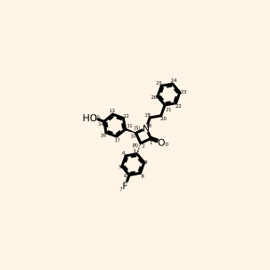 O=C1[C@H](c2ccc(F)cc2)[C@@H](c2ccc(O)cc2)N1CCc1ccccc1